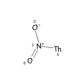 O=[N+]([O-])[Th]